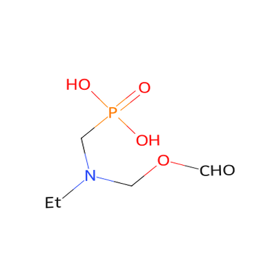 CCN(COC=O)CP(=O)(O)O